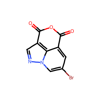 O=c1oc(=O)c2cc(Br)cn3ncc1c23